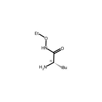 CCONC(=O)[C@@H](N)C(C)CC